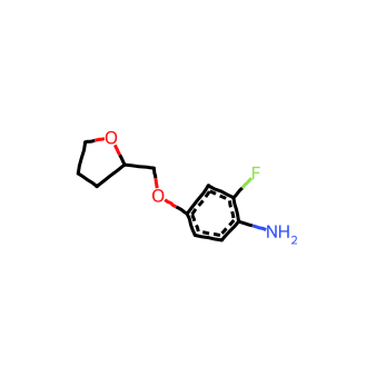 Nc1ccc(OCC2CCCO2)cc1F